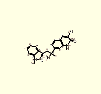 CCc1cc2ccc(C(C)(N)Cc3nn(C)c4ccccc34)cc2[nH]c1=O